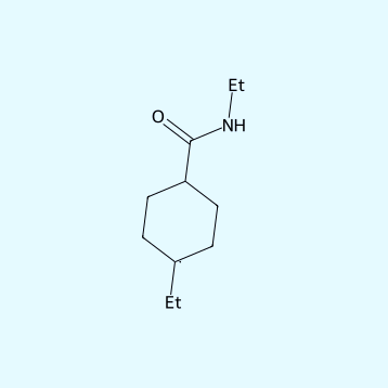 CCNC(=O)C1CC[C](CC)CC1